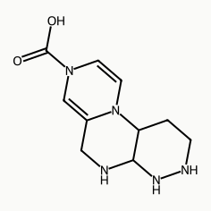 O=C(O)N1C=CN2C(=C1)CNC1NNCCC12